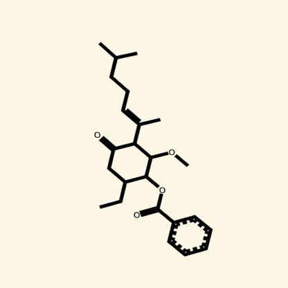 CCC1CC(=O)C(C(C)=CCCC(C)C)C(OC)C1OC(=O)c1ccccc1